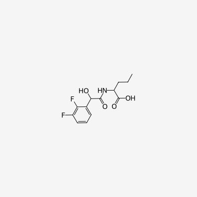 CCCC(NC(=O)C(O)c1cccc(F)c1F)C(=O)O